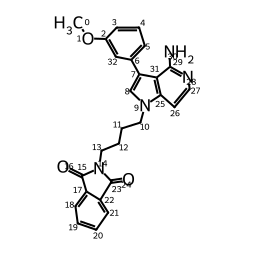 COc1cccc(-c2cn(CCCCN3C(=O)c4ccccc4C3=O)c3ccnc(N)c23)c1